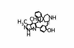 Cc1n[nH]c2nc(-c3ccc(O)c(F)c3)c(N3CC4(CCNCC4)c4ccccc43)c(C=O)c12